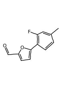 Cc1ccc(-c2ccc(C=O)o2)c(F)c1